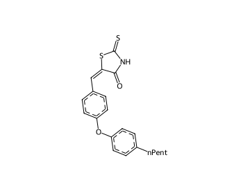 CCCCCc1ccc(Oc2ccc(C=C3SC(=S)NC3=O)cc2)cc1